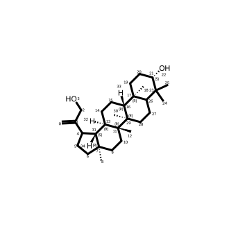 C=C(CO)C1CC[C@]2(C)CC[C@]3(C)[C@H](CC[C@@H]4[C@@]5(C)CC[C@H](O)C(C)(C)C5CC[C@]43C)[C@@H]12